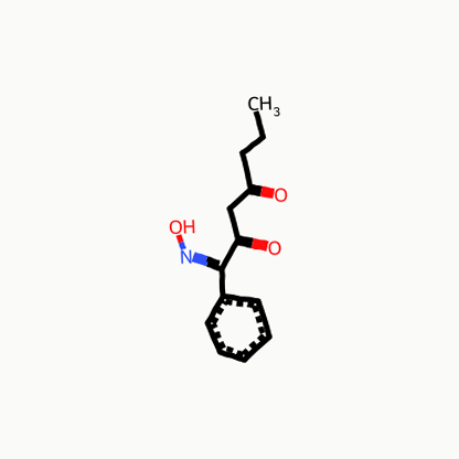 CCCC(=O)CC(=O)C(=NO)c1ccccc1